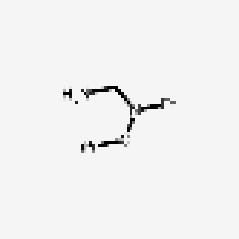 CCN(CN)OC(C)C